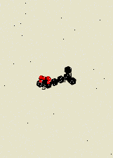 c1ccc(-c2cc(-c3ccc(-c4ccc(-c5ccc6c(c5)C5(c7ccccc7S6)c6ccccc6-c6ccccc65)cc4)cc3)nc(-c3ccccc3)n2)cc1